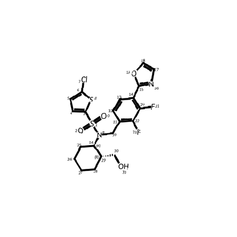 O=S(=O)(c1ccc(Cl)s1)N(Cc1ccc(-c2ncco2)c(F)c1F)[C@@H]1CCCC[C@H]1CO